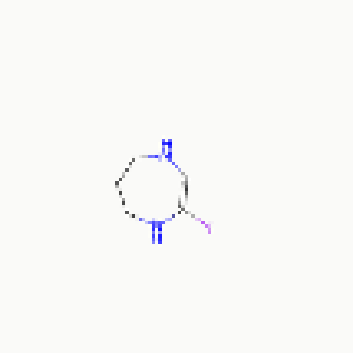 IC1=CNCCCN1